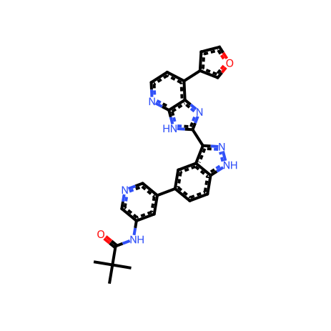 CC(C)(C)C(=O)Nc1cncc(-c2ccc3[nH]nc(-c4nc5c(-c6ccoc6)ccnc5[nH]4)c3c2)c1